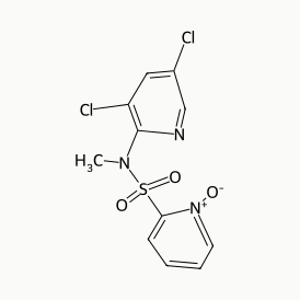 CN(c1ncc(Cl)cc1Cl)S(=O)(=O)c1cccc[n+]1[O-]